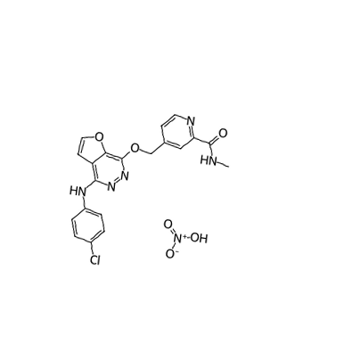 CNC(=O)c1cc(COc2nnc(Nc3ccc(Cl)cc3)c3ccoc23)ccn1.O=[N+]([O-])O